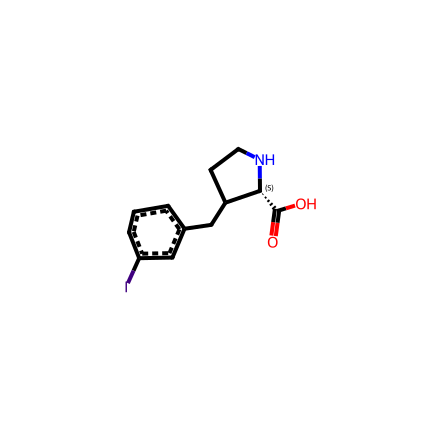 O=C(O)[C@H]1NCCC1Cc1cccc(I)c1